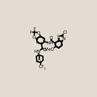 COc1ccc2nc(Cl)sc2c1C(=O)Nc1cc2c(cc1C(=O)NC13CCC(C(F)(F)F)(CC1)OC3)OC(F)(F)O2